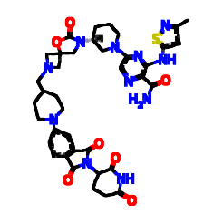 Cc1cc(Nc2nc(N3CCC[C@@H](N4CC5(CN(CC6CCN(c7ccc8c(c7)C(=O)N(C7CCC(=O)NC7=O)C8=O)CC6)C5)OC4=O)C3)cnc2C(N)=O)sn1